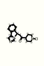 O=C(CC1c2ccccc2-c2cncn21)C1CCN(Cl)CC1